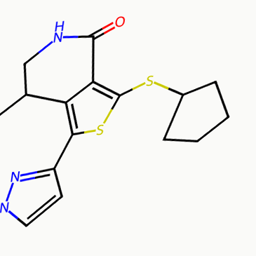 CC1CNC(=O)c2c(SC3CCCC3)sc(-c3cc[nH]n3)c21